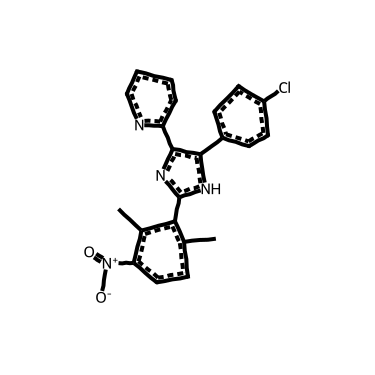 Cc1ccc([N+](=O)[O-])c(C)c1-c1nc(-c2ccccn2)c(-c2ccc(Cl)cc2)[nH]1